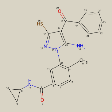 Cc1ccc(C(=O)NC2CC2)cc1-n1nc(S)c(C(=O)c2ccccc2)c1N